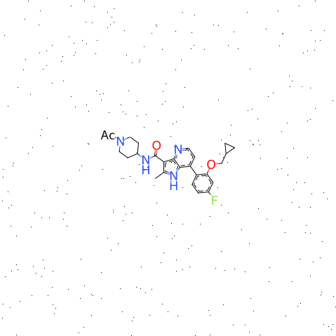 CC(=O)N1CCC(NC(=O)c2c(C)[nH]c3c(-c4ccc(F)cc4OCC4CC4)ccnc23)CC1